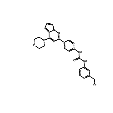 O=C(Nc1ccc(-c2nc(N3CCOCC3)c3cccn3n2)cc1)Nc1ccnc(CO)c1